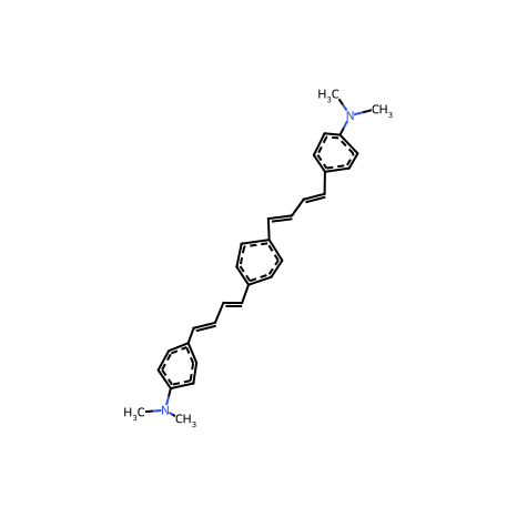 CN(C)c1ccc(/C=C/C=C/c2ccc(/C=C/C=C/c3ccc(N(C)C)cc3)cc2)cc1